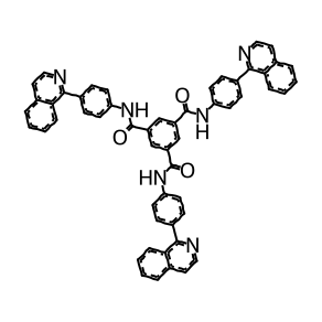 O=C(Nc1ccc(-c2nccc3ccccc23)cc1)c1cc(C(=O)Nc2ccc(-c3nccc4ccccc34)cc2)cc(C(=O)Nc2ccc(-c3nccc4ccccc34)cc2)c1